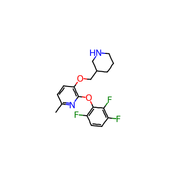 Cc1ccc(OCC2CCCNC2)c(Oc2c(F)ccc(F)c2F)n1